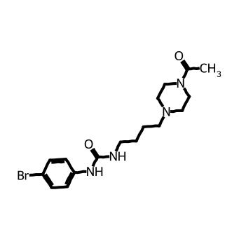 CC(=O)N1CCN(CCCCNC(=O)Nc2ccc(Br)cc2)CC1